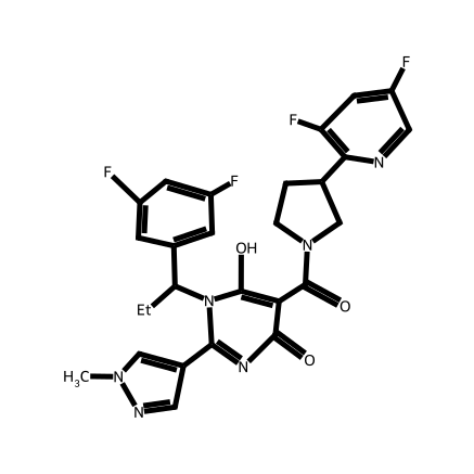 CCC(c1cc(F)cc(F)c1)n1c(-c2cnn(C)c2)nc(=O)c(C(=O)N2CCC(c3ncc(F)cc3F)C2)c1O